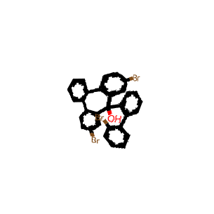 OC1(c2ccccc2-c2ccccc2Br)c2cc(Br)ccc2-c2ccccc2-c2ccc(Br)cc21